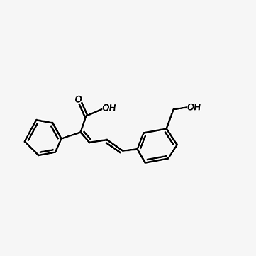 O=C(O)/C(=C\C=C\c1cccc(CO)c1)c1ccccc1